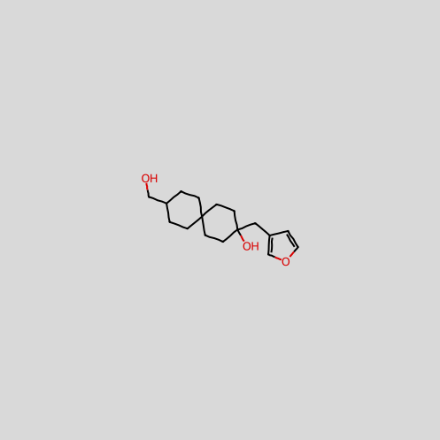 OCC1CCC2(CC1)CCC(O)(Cc1ccoc1)CC2